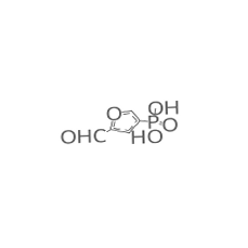 O=Cc1cc(P(=O)(O)O)co1